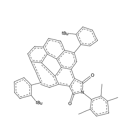 Cc1ccc(C)c(-n2c(=O)c3c4cc(-c5ccccc5C(C)(C)C)c5ccc6ccc7c(-c8ccccc8C(C)(C)C)cc(c3c2=O)c2c7c6c5c42)c1C